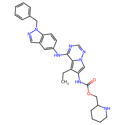 CCc1c(NC(=O)OCC2CCCCN2)cn2ncnc(Nc3ccc4c(cnn4Cc4ccccc4)c3)c12